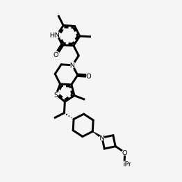 Cc1cc(C)c(CN2CCc3sc(C(C)[C@H]4CC[C@H](N5CC(OC(C)C)C5)CC4)c(C)c3C2=O)c(=O)[nH]1